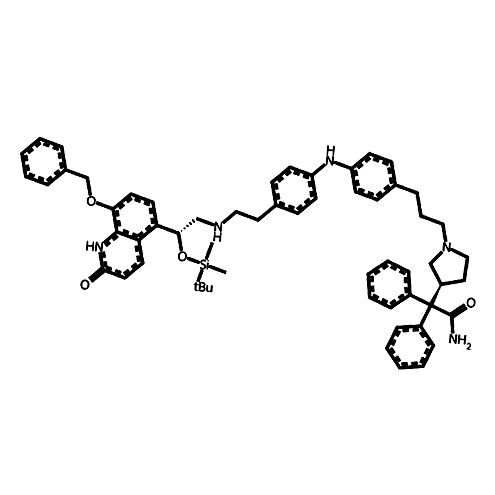 CC(C)(C)[Si](C)(C)O[C@@H](CNCCc1ccc(Nc2ccc(CCCN3CC[C@@H](C(C(N)=O)(c4ccccc4)c4ccccc4)C3)cc2)cc1)c1ccc(OCc2ccccc2)c2[nH]c(=O)ccc12